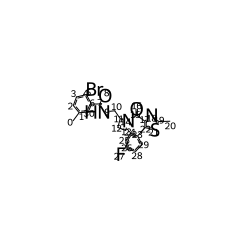 Cc1ccc(Br)c(C(=O)NCC2CCN2C(=O)c2nc(C)sc2-c2ccc(F)cc2)c1